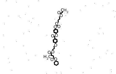 C=CC(=O)OCCCCOC(=O)Oc1ccc(OC(=O)c2ccc(OCCCOC(=O)C(=C)CC(=O)OC3CCCCC3)cc2)cc1